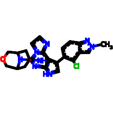 Cn1cc2c(Cl)c(-c3c[nH]c4nc(N5C6COCC5CC(N)C6)n5ccnc5c34)ccc2n1